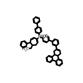 C/C=C(\C=C/C(C)N(C1=CCC(CC)C(c2ccccc2)C=C1)c1ccc(-c2ccccc2)cc1)c1cccc(C2=CCC3c4ccccc4-c4ccccc4C3C2)c1